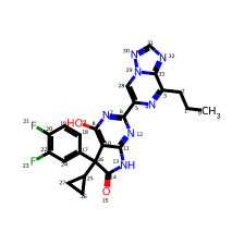 CCCc1nc(-c2nc(O)c3c(n2)NC(=O)C3(c2ccc(F)c(F)c2)C2CC2)cn2ncnc12